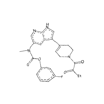 CCC(=O)C(=O)N1CC=C(c2c[nH]c3ncc(N(C)C(=O)Oc4cccc(F)c4)cc23)CC1